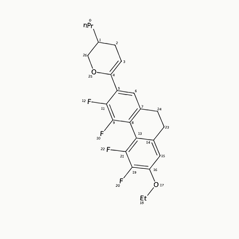 CCCC1CC=C(c2cc3c(c(F)c2F)-c2c(cc(OCC)c(F)c2F)CC3)OC1